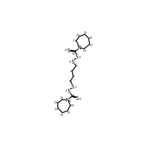 S=C(SSCCCCSSC(=S)N1CCCCCC1)N1CCCCCC1